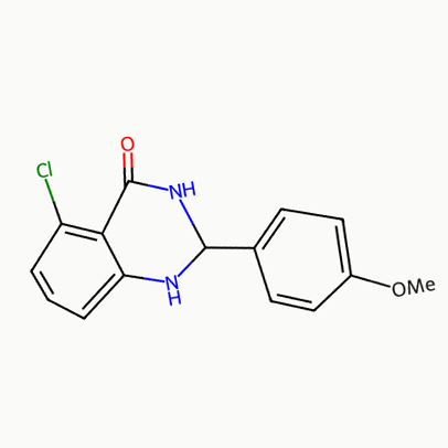 COc1ccc(C2NC(=O)c3c(Cl)cccc3N2)cc1